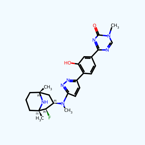 CN(c1ccc(-c2ccc(-c3ncn(C)c(=O)n3)cc2O)nn1)[C@@H]1C[C@@]2(C)CCC[C@](C)(N2)[C@@H]1F